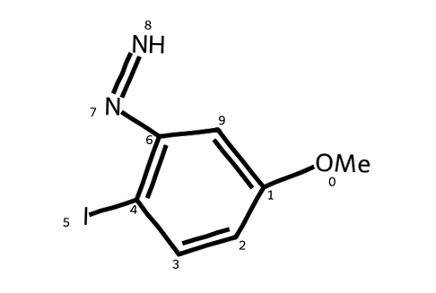 COc1ccc(I)c(N=N)c1